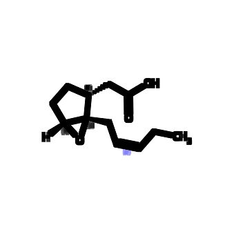 CC/C=C\C[C@@]12O[C@@H]1CC[C@@H]2CC(=O)O